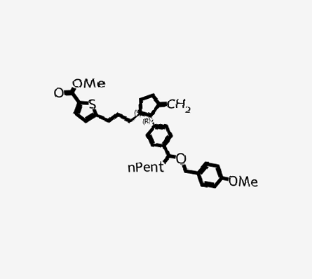 C=C1CC[C@H](CCCc2ccc(C(=O)OC)s2)[C@H]1c1ccc(C(CCCCC)OCc2ccc(OC)cc2)cc1